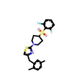 Cc1ccc(C)c(Cc2csc(N3CCC(S(=O)(=O)c4c(F)cccc4F)CC3)n2)c1